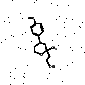 CSc1ccc(N2CCOC(C)(CCC=O)C2)cc1